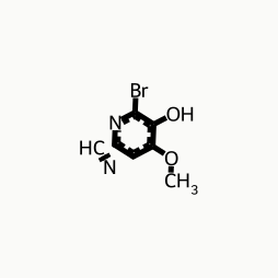 C#N.COc1ccnc(Br)c1O